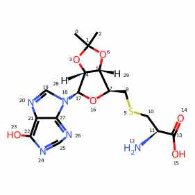 CC1(C)O[C@@H]2[C@H](O1)[C@@H](CSC[C@H](N)C(=O)O)O[C@H]2n1cnc2c(O)ncnc21